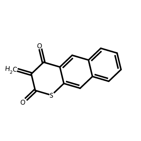 C=C1C(=O)Sc2cc3ccccc3cc2C1=O